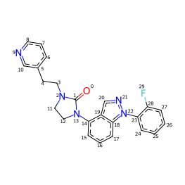 O=C1N(CCc2cccnc2)CCN1c1cccc2c1cnn2-c1ccccc1F